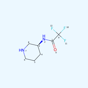 O=C(N[C@H]1CCCNC1)C(F)(F)F